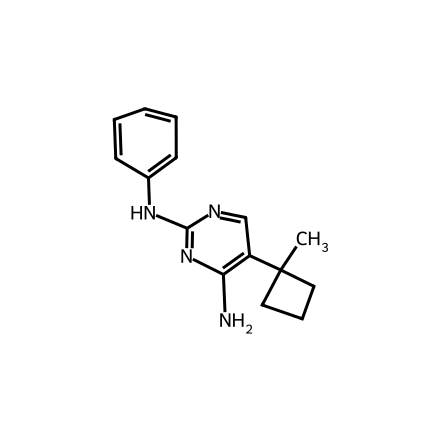 CC1(c2cnc(Nc3ccccc3)nc2N)CCC1